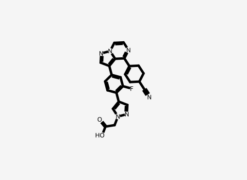 N#CC1CC=C(c2nccn3ncc(-c4ccc(-c5cnn(CC(=O)O)c5)c(F)c4)c23)CC1